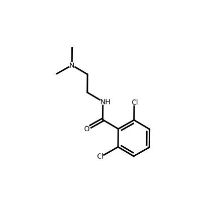 CN(C)CCNC(=O)c1c(Cl)cccc1Cl